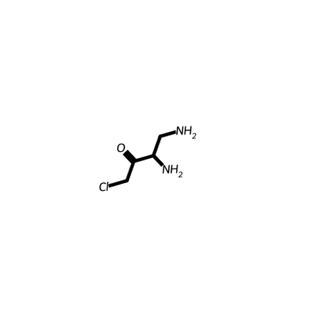 NCC(N)C(=O)CCl